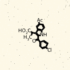 CC(=O)c1ccc2[nH]c(C(=O)c3ccc(Cl)cc3)c(C(C)C(=O)O)c2c1